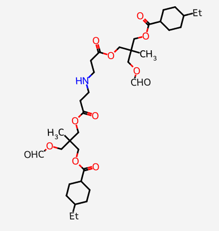 CCC1CCC(C(=O)OCC(C)(COC=O)COC(=O)CCNCCC(=O)OCC(C)(COC=O)COC(=O)C2CCC(CC)CC2)CC1